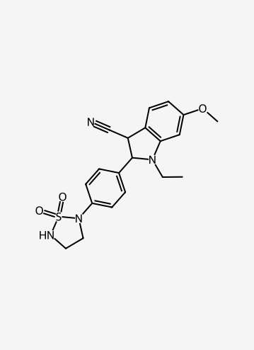 CCN1c2cc(OC)ccc2C(C#N)C1c1ccc(N2CCNS2(=O)=O)cc1